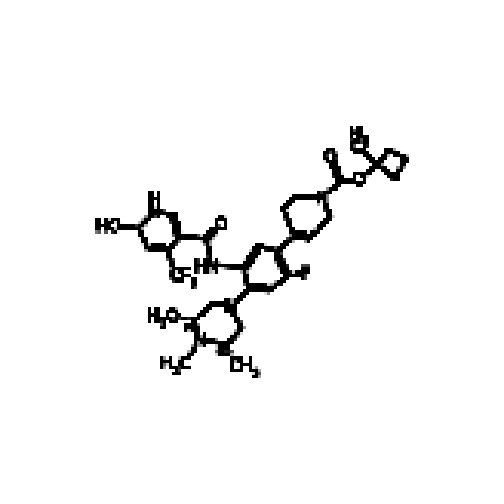 C[C@@H]1CN(c2cc(F)c(C3=CCN(C(=O)OC4(C)CCC4)CC3)cc2NC(=O)C2=CNC(O)C=C2C(F)(F)F)C[C@H](C)N1C